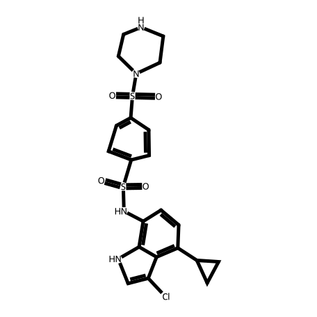 O=S(=O)(Nc1ccc(C2CC2)c2c(Cl)c[nH]c12)c1ccc(S(=O)(=O)N2CCNCC2)cc1